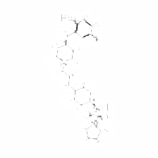 O=S(=O)(NC1CCC(CCCN2CCC(Cc3cc(F)ccc3Br)CC2)CC1)N1CCCC1